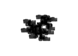 CC(C)(C)OC(=O)CCC(CCC(=O)OC(C)(C)C)(CCC(=O)OC(C)(C)C)NC(=O)CCC(CCC(=O)NC(CCC(=O)OC(C)(C)C)(CCC(=O)OC(C)(C)C)CCC(=O)OC(C)(C)C)(CCC(=O)OC(CCC(=O)OC(C)(C)C)(CCC(=O)OC(C)(C)C)CCC(=O)OC(C)(C)C)[N+](=O)[O-]